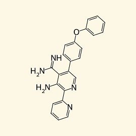 N=C(N)c1c(-c2ccc(Oc3ccccc3)cc2)cnc(-c2ccccn2)c1N